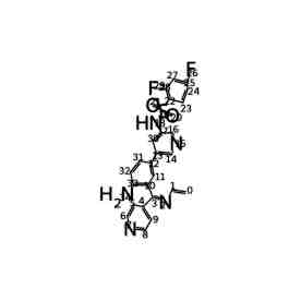 C=C/N=C(/c1ccncc1)c1cc(-c2cncc(NS(=O)(=O)c3ccc(F)cc3F)c2)ccc1N